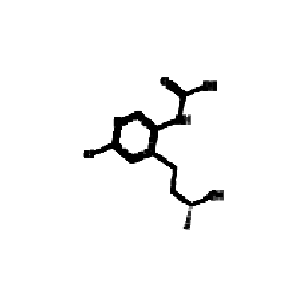 C[C@@H](O)CCc1cc(Cl)ncc1NC(=O)O